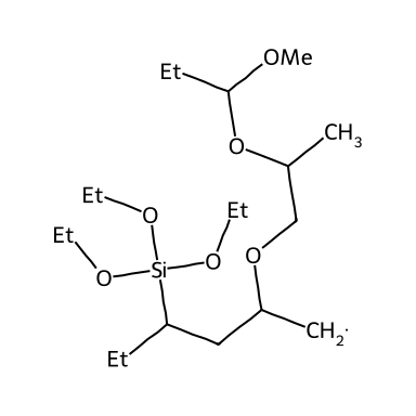 [CH2]C(CC(CC)[Si](OCC)(OCC)OCC)OCC(C)OC(CC)OC